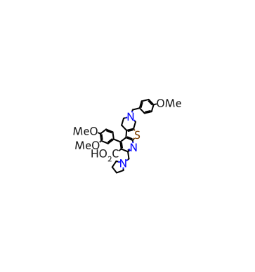 COc1ccc(CN2CCc3c(sc4nc(CN5CCCC5)c(C(=O)O)c(-c5ccc(OC)c(OC)c5)c34)C2)cc1